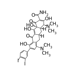 CN(C)c1cc(-c2ccc(I)c(I)c2)c(O)c2c1C[C@H]1C[C@H]3[C@H](N(C)C)C(O)=C(C(N)=O)C(=O)[C@@]3(O)C(O)=C1C2=O